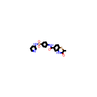 CC1Sc2ccc(C(=O)Nc3ccc(S(=O)(=O)Nc4cccnc4)cc3)cc2NC1=O